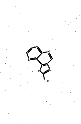 O=Cc1nc2cnc3cccnc3c2[nH]1